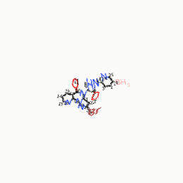 Bc1ccc(NC(=O)Cn2c(=O)c3cccnc3n3nc(Br)cc23)nc1